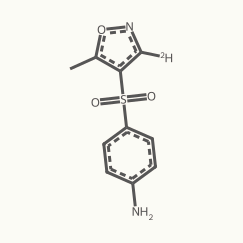 [2H]c1noc(C)c1S(=O)(=O)c1ccc(N)cc1